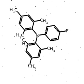 Cc1cc(C)c(B(c2ccc(F)cc2)c2c(C)cc(C)cc2C)c(C)c1